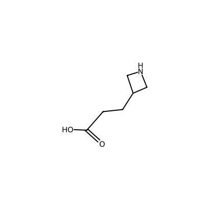 O=C(O)CCC1CNC1